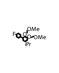 COCCOc1cc(C(C)C)cc(-c2ccc(F)cc2)c1OCCOC